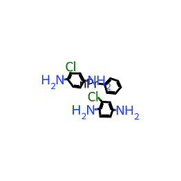 CCCc1ccccc1.Nc1ccc(N)c(Cl)c1.Nc1ccc(N)c(Cl)c1